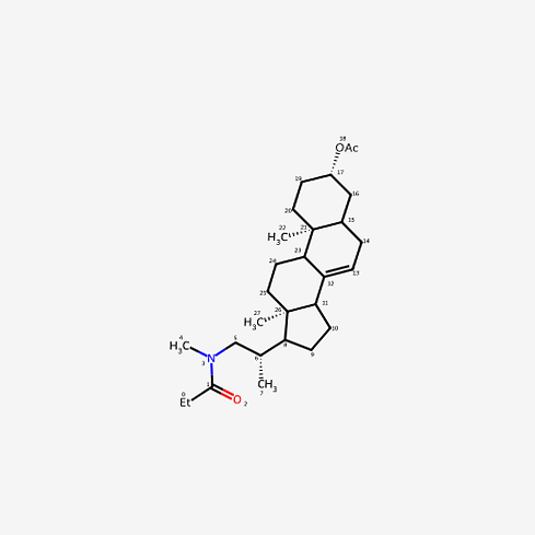 CCC(=O)N(C)C[C@@H](C)C1CCC2C3=CCC4C[C@@H](OC(C)=O)CC[C@]4(C)C3CC[C@@]21C